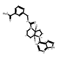 COC(=O)c1cccc(COC(=O)N2CCC[C@@H]3[C@H]2CCN3c2ncnc3[nH]ccc23)c1